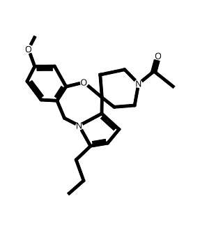 CCCc1ccc2n1Cc1ccc(OC)cc1OC21CCN(C(C)=O)CC1